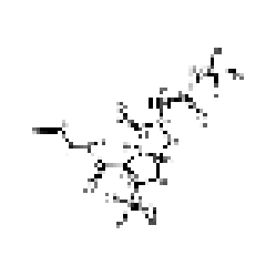 C=CCOC(=O)C1=C(S(C)(=O)=O)CN2C[C@H](NC(=O)OC(C)(C)C)C(=O)N12